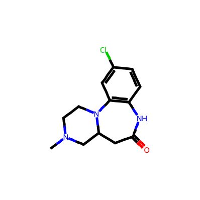 CN1CCN2c3cc(Cl)ccc3NC(=O)CC2C1